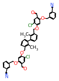 Cc1c(COc2cc(OCc3cccc(C#N)c3)c(C=O)cc2Cl)cccc1-c1cccc(COc2cc(OCc3cccc(C#N)c3)c(C=O)cc2Cl)c1C